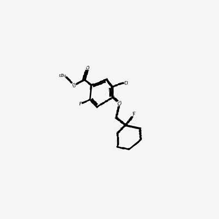 CC(C)(C)OC(=O)c1cc(Cl)c(OCC2(F)CCCCC2)cc1F